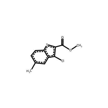 COC(=O)c1sc2ccc(C)cc2c1Cl